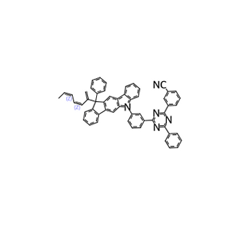 C=C(/C=C\C=C/C)C1(c2ccccc2)c2ccccc2-c2cc3c(cc21)c1ccccc1n3-c1cccc(-c2nc(-c3ccccc3)nc(-c3cccc(C#N)c3)n2)c1